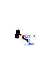 CCOC(=O)NN[C@@H](CCCNC(N)N)C(=O)C(=O)OCC1c2ccccc2-c2ccccc21